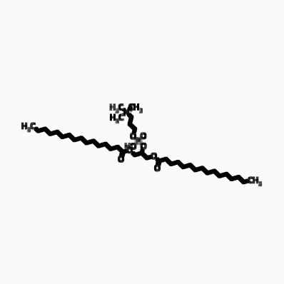 CCCCCCCCCCCCCCCC(=O)OCC(COC(=O)CCCCCCCCCCCCCCC)OP(=O)(O)OCCC[N+](C)(C)C